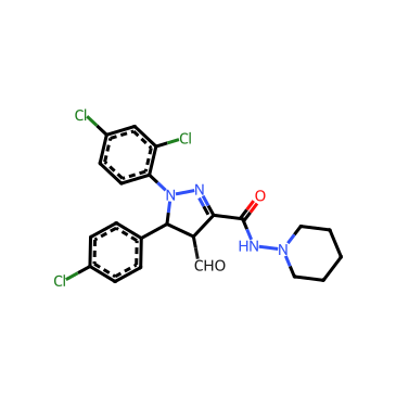 O=CC1C(C(=O)NN2CCCCC2)=NN(c2ccc(Cl)cc2Cl)C1c1ccc(Cl)cc1